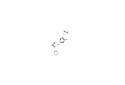 COC(=O)c1cc(Nc2ncc(C)c(NC3CCCC3)n2)ccc1B1OC(C)(C)C(C)(C)O1